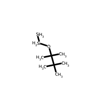 CC(C)(C)C(C)(C)O[SiH2][SiH3]